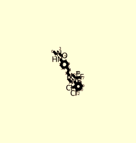 CCN(C)C(=O)NC1CCC(CCN2CCN(c3cccc(Cl)c3Cl)C(C(F)(F)F)C2)CC1